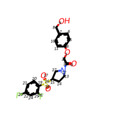 O=C(COc1ccc(CO)cc1)N1CCC(S(=O)(=O)c2ccc(F)cc2F)C1